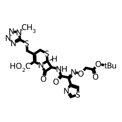 Cn1nnnc1SCC1=C(C(=O)O)N2C(=O)C(NC(=O)C(=NOCC(=O)OC(C)(C)C)c3cscn3)[C@@H]2SC1